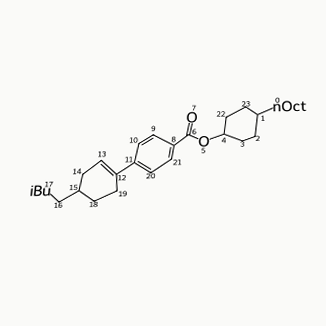 CCCCCCCCC1CCC(OC(=O)c2ccc(C3=CCC(CC(C)CC)CC3)cc2)CC1